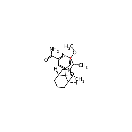 COC[C@H](C)N1C[C@H]2CCC[C@@H](C1)[C@]2(OC)c1ccnc(C(N)=O)c1